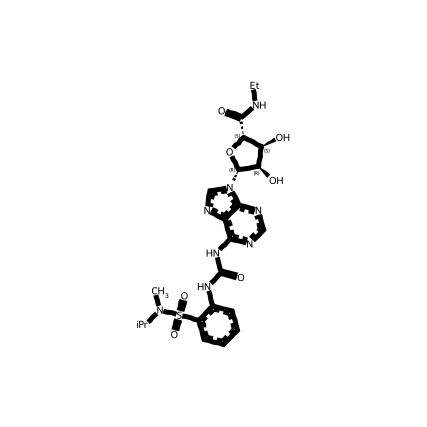 CCNC(=O)[C@H]1O[C@@H](n2cnc3c(NC(=O)Nc4ccccc4S(=O)(=O)N(C)C(C)C)ncnc32)[C@H](O)[C@@H]1O